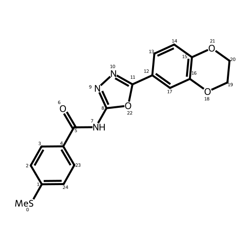 CSc1ccc(C(=O)Nc2nnc(-c3ccc4c(c3)OCCO4)o2)cc1